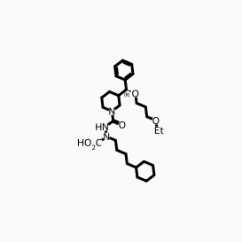 CCOCCCO[C@@H](c1ccccc1)C1CCCN(C(=O)NN(CCCCC2CCCCC2)C(=O)O)C1